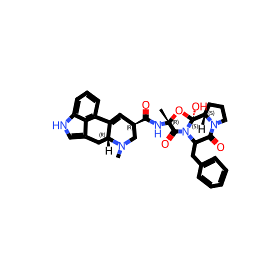 CN1C[C@H](C(=O)N[C@]2(C)O[C@@]3(O)[C@@H]4CCCN4C(=O)C(Cc4ccccc4)N3C2=O)C=C2c3cccc4[nH]cc(c34)C[C@H]21